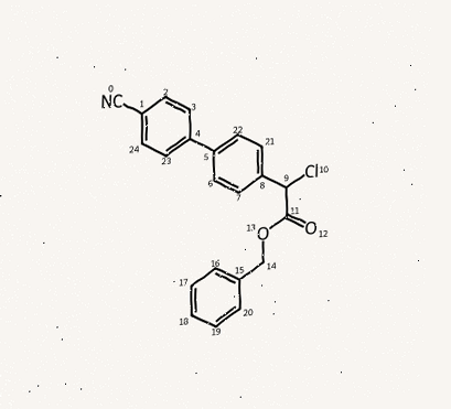 N#Cc1ccc(-c2ccc(C(Cl)C(=O)OCc3ccccc3)cc2)cc1